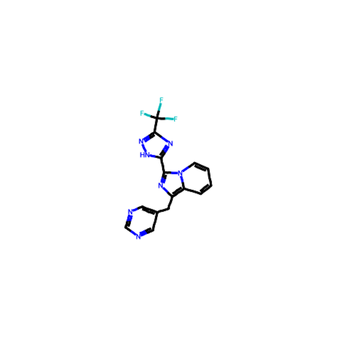 FC(F)(F)c1n[nH]c(-c2nc(Cc3cncnc3)c3ccccn23)n1